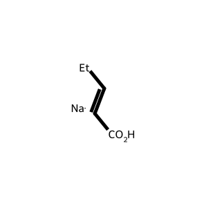 CCC=CC(=O)O.[Na]